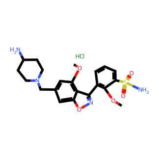 COc1c(-c2noc3cc(CN4CCC(N)CC4)cc(OC)c23)cccc1S(N)(=O)=O.Cl